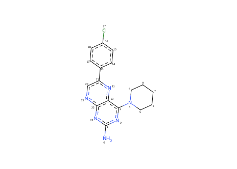 Nc1nc(N2CCCCC2)c2nc(-c3ccc(Cl)cc3)cnc2n1